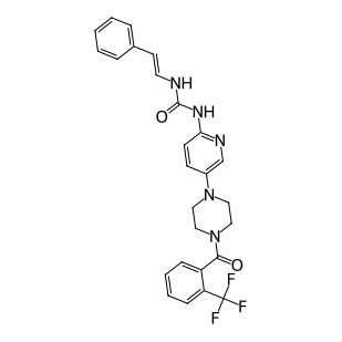 O=C(NC=Cc1ccccc1)Nc1ccc(N2CCN(C(=O)c3ccccc3C(F)(F)F)CC2)cn1